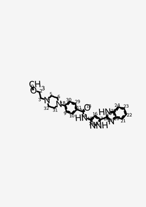 COCCN1CCN(c2ccc(C(=O)Nc3cc(-c4nc5ccccc5[nH]4)[nH]n3)cc2)CC1